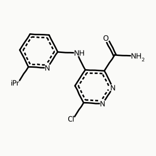 CC(C)c1cccc(Nc2cc(Cl)nnc2C(N)=O)n1